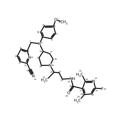 COc1ccc(N(Cc2cccc(C#N)n2)C2CCN(C(C)CCNC(=O)c3c(C)cc(F)nc3C)CC2)cc1